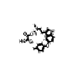 Cc1ccc(Oc2ccc3[nH]cc(CCN(C)C)c3c2)cc1.O=C(O)C(=O)O